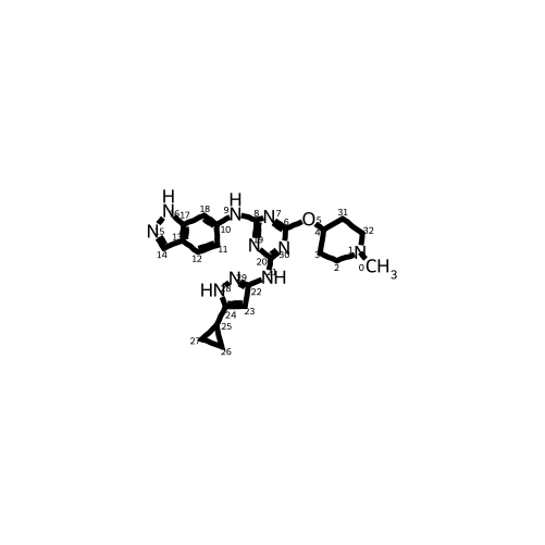 CN1CCC(Oc2nc(Nc3ccc4cn[nH]c4c3)nc(Nc3cc(C4CC4)[nH]n3)n2)CC1